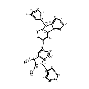 CCCC1c2cc(C3CCC4C(C3)c3ccccc3N4c3ccccc3)ccc2N(c2ccccc2)C1CC